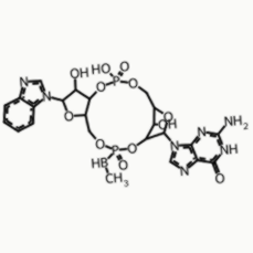 CBP1(=O)OCC2OC(n3cnc4ccccc43)C(O)C2OP(=O)(O)OCC2OC(n3cnc4c(=O)[nH]c(N)nc43)C(O1)C2O